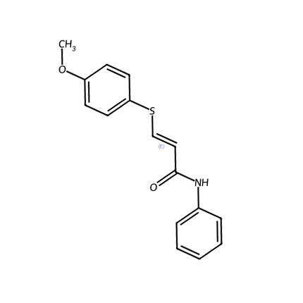 COc1ccc(S/C=C/C(=O)Nc2ccccc2)cc1